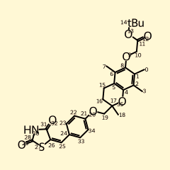 Cc1c(C)c2c(c(C)c1OCC(=O)OC(C)(C)C)CCC(C)(COc1ccc(C=C3SC(=O)NC3=O)cc1)O2